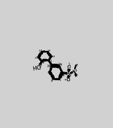 CN(C)S(=O)(=O)c1cccc(-c2[c]cccc2O)c1